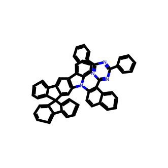 c1ccc(-c2nc(-c3ccccc3)nc(-c3c(-n4c5ccccc5c5cc6c(cc54)C4(c5ccccc5-c5ccccc54)c4ccccc4-6)ccc4ccccc34)n2)cc1